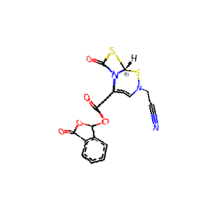 N#CCN1C=C(C(=O)OC2OC(=O)c3ccccc32)N2C(=O)S[C@@H]2S1